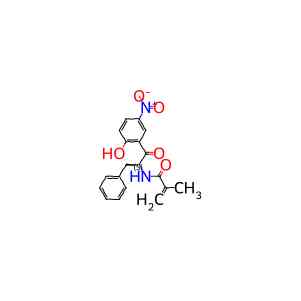 C=C(C)C(=O)N[C@@H](Cc1ccccc1)C(=O)c1cc([N+](=O)[O-])ccc1O